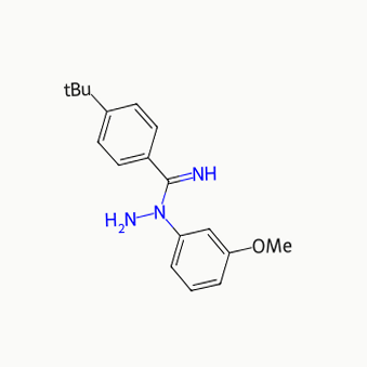 COc1cccc(N(N)C(=N)c2ccc(C(C)(C)C)cc2)c1